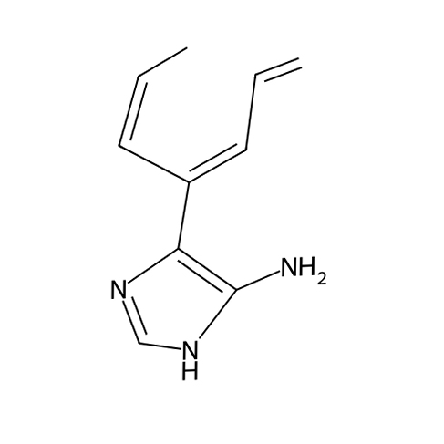 C=C/C=C(\C=C/C)c1nc[nH]c1N